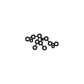 c1ccc(-c2ccc(-c3c(-c4ccc5c(c4)oc4ccccc45)cccc3N(c3cccc(-c4ccccc4)c3)c3cccc(-c4ccc5oc6ccccc6c5c4)c3)cc2)cc1